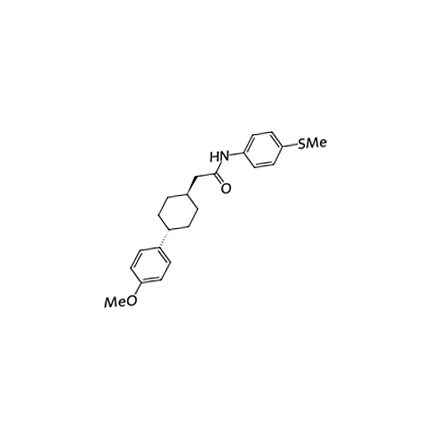 COc1ccc([C@H]2CC[C@H](CC(=O)Nc3ccc(SC)cc3)CC2)cc1